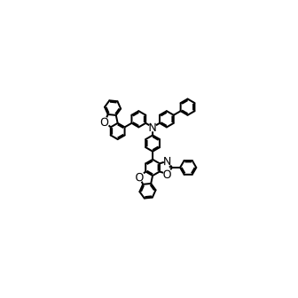 c1ccc(-c2ccc(N(c3ccc(-c4cc5oc6ccccc6c5c5oc(-c6ccccc6)nc45)cc3)c3cccc(-c4cccc5oc6ccccc6c45)c3)cc2)cc1